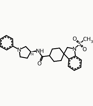 CS(=O)(=O)N1CC2(CCC(C(=O)N[C@H]3CCN(c4ccccc4)C3)CC2)c2ccccc21